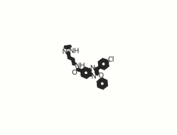 O=C(NCCCc1ncc[nH]1)c1ccc2nc(Oc3ccccc3)c(-c3ccc(Cl)cc3)nc2c1